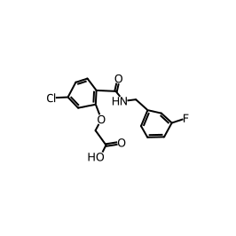 O=C(O)COc1cc(Cl)ccc1C(=O)NCc1cccc(F)c1